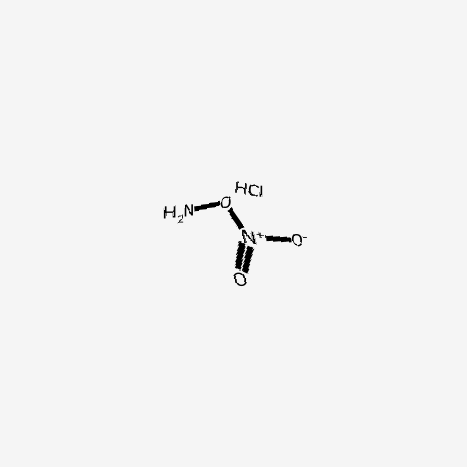 Cl.NO[N+](=O)[O-]